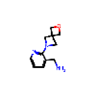 NCc1cccnc1N1CC2(COC2)C1